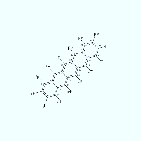 Fc1c(F)c(F)c2c(F)c3c(F)c4c(F)c5c(F)c(F)c(F)c(F)c5c(F)c4c(F)c3c(F)c2c1F